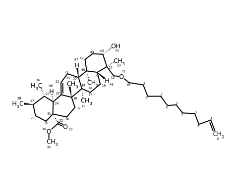 C=CCCCCCCCCCOC[C@@]1(C)[C@@H]2CC[C@]3(C)[C@H](CC=C4[C@@H]5[C@@H](C)[C@H](C)CC[C@]5(C(=O)OC)CC[C@]43C)[C@@]2(C)CC[C@@H]1O